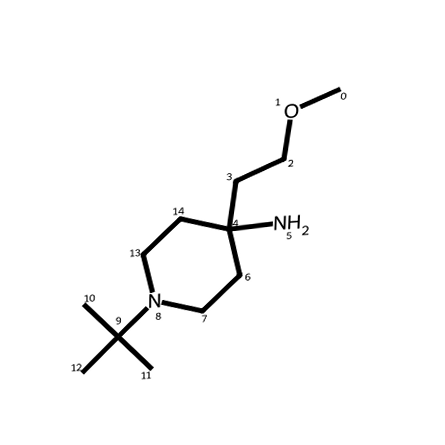 COCCC1(N)CCN(C(C)(C)C)CC1